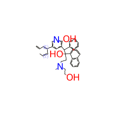 C=C/C=C(\C=C/C)c1cnc(O)c(C(c2ccccc2)C(O)(CCN(C)CCO)C2=C=C=Cc3ccccc32)c1